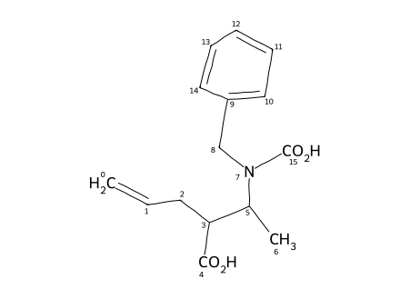 C=CCC(C(=O)O)C(C)N(Cc1ccccc1)C(=O)O